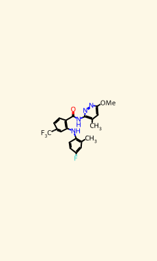 COc1cc(C)c(NC(=O)c2ccc(C(F)(F)F)cc2Nc2ccc(F)cc2C)nn1